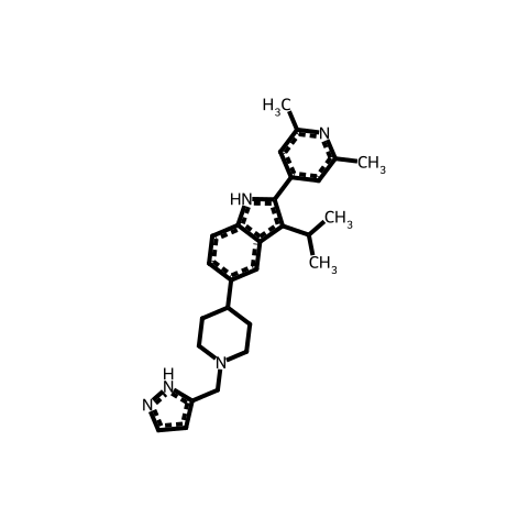 Cc1cc(-c2[nH]c3ccc(C4CCN(Cc5ccn[nH]5)CC4)cc3c2C(C)C)cc(C)n1